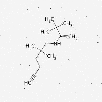 C#CCCC(C)(C)CNC(=C)C(C)(C)C